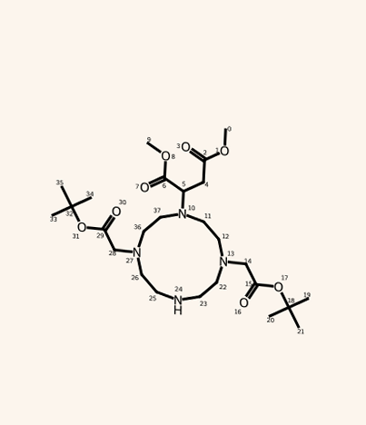 COC(=O)CC(C(=O)OC)N1CCN(CC(=O)OC(C)(C)C)CCNCCN(CC(=O)OC(C)(C)C)CC1